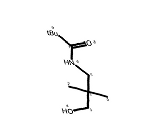 CC(C)(CO)CNC(=O)C(C)(C)C